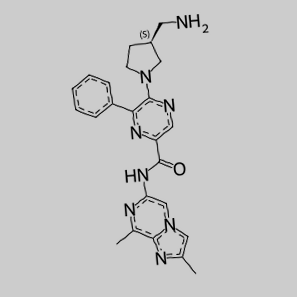 Cc1cn2cc(NC(=O)c3cnc(N4CC[C@@H](CN)C4)c(-c4ccccc4)n3)nc(C)c2n1